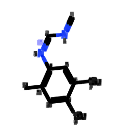 C=N/C=N\c1cc(C(C)(C)C)c(C(C)(C)C)cc1C